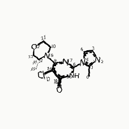 Cc1nccn1-c1nc(N2CCOC[C@H]2C)c(Cl)c(=O)[nH]1